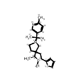 CCO[C@@H](C)C1(CCc2cccs2)CCN(C(C)(C)c2ccc(C)nc2)C1